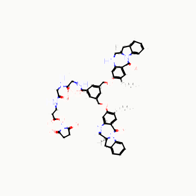 COc1cc2c(cc1OCc1cc(COc3cc4c(cc3OC)C(=O)N3c5ccccc5C[C@H]3CN4)cc(C(=O)N[C@@H](C)C(=O)N[C@@H](C)C(=O)NCCC(=O)ON3C(=O)CCC3=O)c1)N=C[C@@H]1Cc3ccccc3N1C2=O